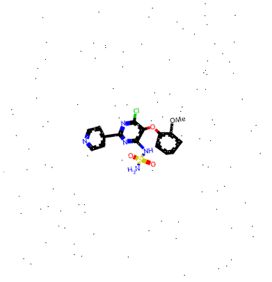 COc1ccccc1Oc1c(Cl)nc(-c2ccncc2)nc1NS(N)(=O)=O